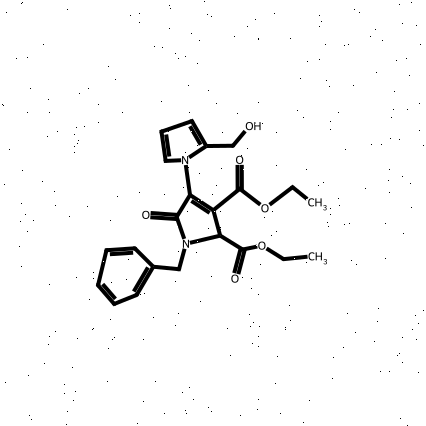 CCOC(=O)C1=C(n2cccc2CO)C(=O)N(Cc2ccccc2)C1C(=O)OCC